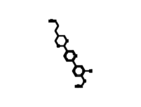 CCCCCCCCCCCCC1COC(c2ccc(-c3ccc(OCCCCCCCC)c(Cl)c3)nc2)OC1